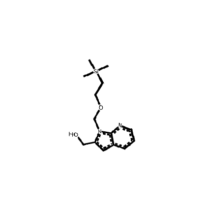 C[Si](C)(C)CCOCn1c(CO)cc2cccnc21